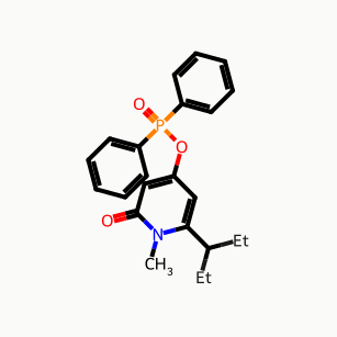 CCC(CC)c1cc(OP(=O)(c2ccccc2)c2ccccc2)cc(=O)n1C